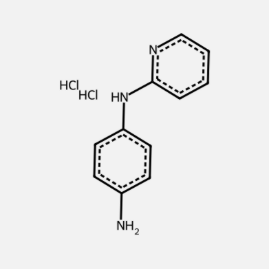 Cl.Cl.Nc1ccc(Nc2ccccn2)cc1